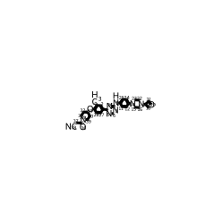 Cc1cc(-c2ncnc(Nc3ccc(N4CCN(C5COC5)CC4)cc3)n2)ccc1OC1CCN(C(=O)CC#N)CC1